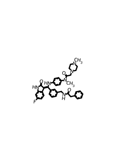 CN1CCN(CC(=O)N(C)c2ccc(N/C(=C3\C(=O)Nc4cc(F)ccc43)c3cccc(CNC(=O)Cc4ccccc4)c3)cc2)CC1